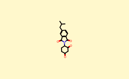 CC(C)Cc1ccc2c(c1)C(=O)N(C1CCC(=O)CC1=O)C2=O